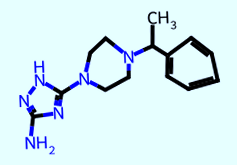 CC(c1ccccc1)N1CCN(c2nc(N)n[nH]2)CC1